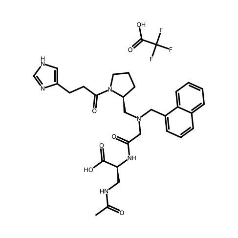 CC(=O)NC[C@H](NC(=O)CN(Cc1cccc2ccccc12)C[C@@H]1CCCN1C(=O)CCc1c[nH]cn1)C(=O)O.O=C(O)C(F)(F)F